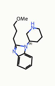 COCCCc1nc2ccccc2n1[C@@H]1CCCNC1